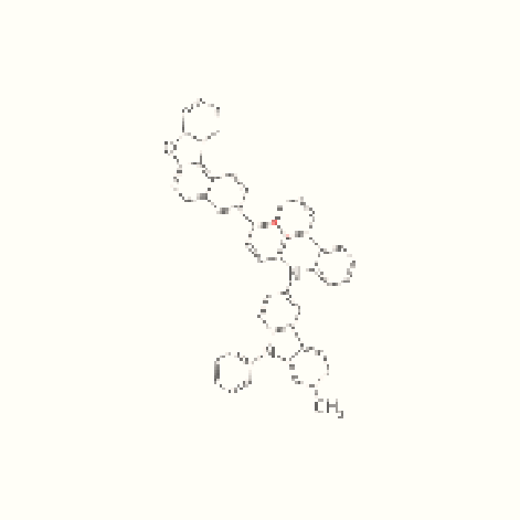 CC1C=c2c(c3cc(N(c4ccc(-c5ccc6c7c(ccc6c5)OC5C=CC=CC75)cc4)c4ccccc4-c4ccccc4)ccc3n2-c2ccccc2)=CC1